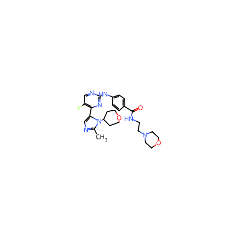 Cc1ncc(-c2nc(Nc3ccc(C(=O)NCCN4CCOCC4)cc3)ncc2F)n1C1CCOCC1